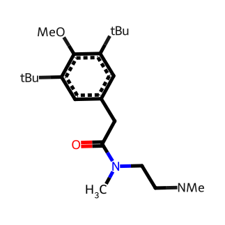 CNCCN(C)C(=O)Cc1cc(C(C)(C)C)c(OC)c(C(C)(C)C)c1